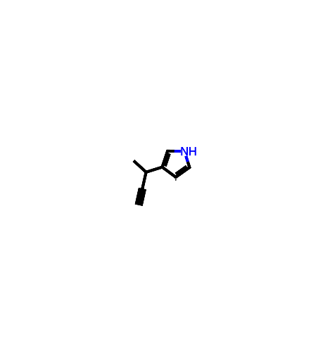 C#CC(C)c1[c]c[nH]c1